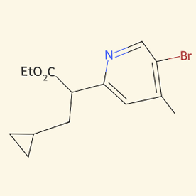 CCOC(=O)C(CC1CC1)c1cc(C)c(Br)cn1